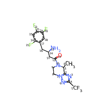 CC1c2nc(C(F)(F)F)nn2CCN1C(=O)C[C@H](N)Cc1cc(F)c(F)cc1F